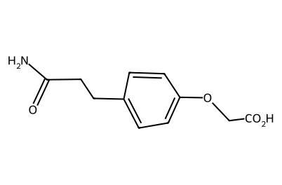 NC(=O)CCc1ccc(OCC(=O)O)cc1